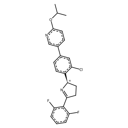 CC(C)Oc1ccc(-c2ccc([C@H]3CCC(c4c(F)cccc4F)=N3)c(Cl)c2)cn1